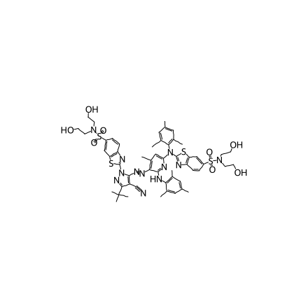 Cc1cc(C)c(Nc2nc(N(c3nc4ccc(S(=O)(=O)N(CCO)CCO)cc4s3)c3c(C)cc(C)cc3C)cc(C)c2N=Nc2c(C#N)c(C(C)(C)C)nn2-c2nc3ccc(S(=O)(=O)N(CCO)CCO)cc3s2)c(C)c1